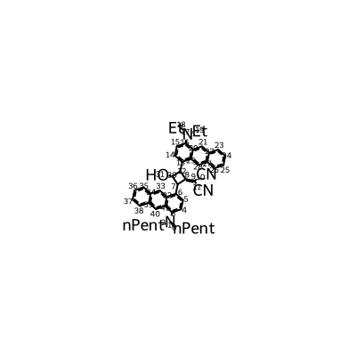 CCCCCN(CCCCC)c1ccc(C2C(=C(C#N)C#N)C(c3ccc(N(CC)CC)c4cc5ccccc5cc34)C2O)c2cc3ccccc3cc12